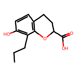 CCCc1c(O)ccc2c1OC(C(=O)O)CC2